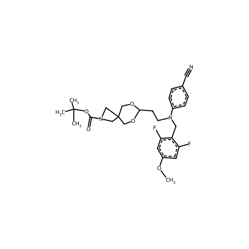 COc1cc(F)c(CN(CCC2OCC3(CO2)CN(C(=O)OC(C)(C)C)C3)c2ccc(C#N)cc2)c(F)c1